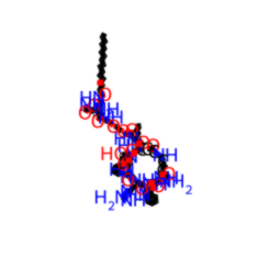 CCCCCCCCCCCCCCCCC(=O)NCC(=O)N[C@@H](CCC(N)=O)C(=O)NCCOCCOCC(=O)N[C@@H](CCCC)C(=O)N[C@H]1CCC(=O)CNCCCC[C@@H](C(N)=O)NC(=O)[C@H](Cc2c[nH]c3ccccc23)NC(=O)[C@H](CCCNC(=N)N)NC(=O)C(Cc2ccccc2)NC(=O)[C@@H]2C[C@@H](O)CN2C1=O